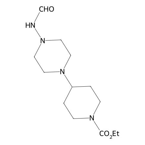 CCOC(=O)N1CCC(N2CCN(NC=O)CC2)CC1